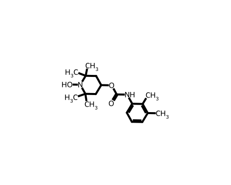 Cc1cccc(NC(=O)OC2CC(C)(C)N(O)C(C)(C)C2)c1C